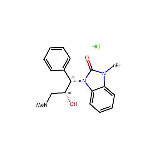 CCCn1c(=O)n([C@@H](c2ccccc2)[C@H](O)CNC)c2ccccc21.Cl